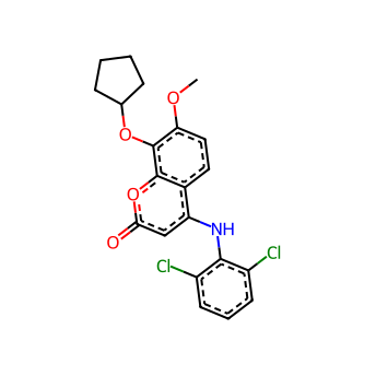 COc1ccc2c(Nc3c(Cl)cccc3Cl)cc(=O)oc2c1OC1CCCC1